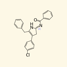 O=C(/N=C1/CC(c2ccc(Cl)cc2)=C(Cc2ccccc2)N1)c1ccccc1